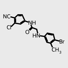 Cc1cc(NCC(=O)Nc2ccc(C#N)c(Cl)c2)ccc1Br